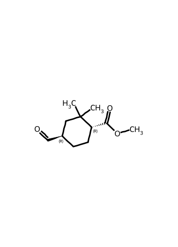 COC(=O)[C@@H]1CC[C@@H](C=O)CC1(C)C